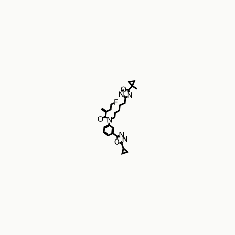 C=C(CCF)C(=O)N(CCCCCc1noc(C2(C)CC2)n1)c1cccc(-c2nnc(C3CC3)o2)c1